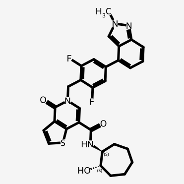 Cn1cc2c(-c3cc(F)c(Cn4cc(C(=O)N[C@H]5CCCCC[C@@H]5O)c5sccc5c4=O)c(F)c3)cccc2n1